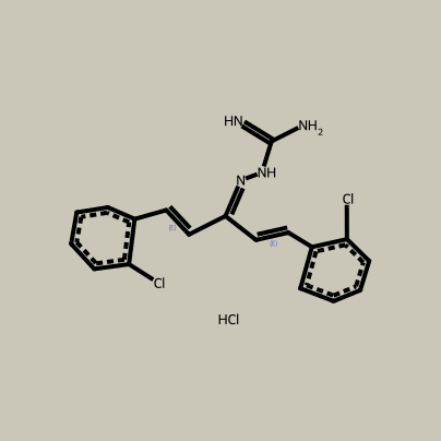 Cl.N=C(N)NN=C(/C=C/c1ccccc1Cl)/C=C/c1ccccc1Cl